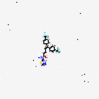 O=C(C=CC=C(c1ccc(C(F)(F)F)cc1)c1ccc(C(F)(F)F)cc1)Nc1nncs1